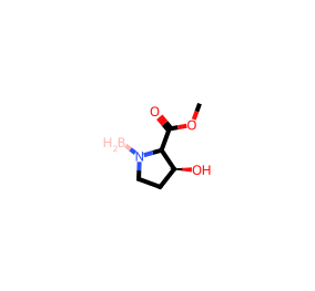 BN1CC[C@H](O)C1C(=O)OC